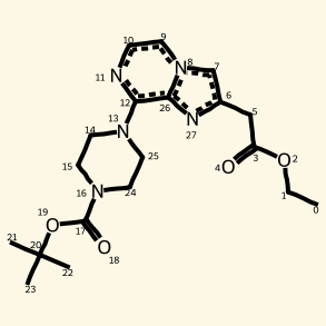 CCOC(=O)Cc1cn2ccnc(N3CCN(C(=O)OC(C)(C)C)CC3)c2n1